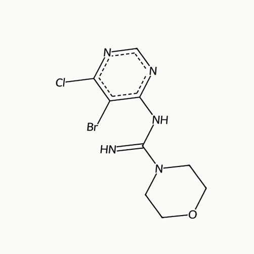 N=C(Nc1ncnc(Cl)c1Br)N1CCOCC1